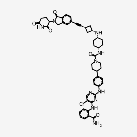 NC(=O)c1ccccc1Nc1nc(Nc2ccc(C3CCN(C(=O)N[C@H]4CC[C@@H](N[C@H]5C[C@H](C#Cc6ccc7c(c6)CN(C6CCC(=O)NC6=O)C7=O)C5)CC4)CC3)cc2)ncc1Cl